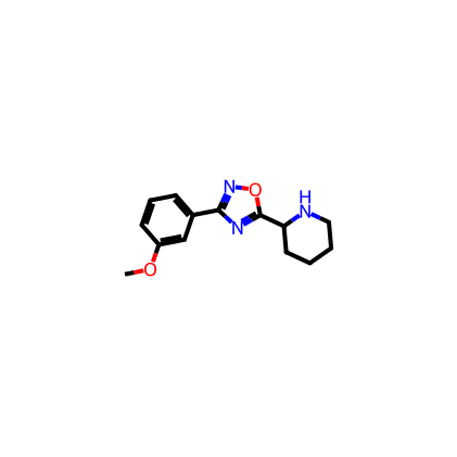 COc1cccc(-c2noc(C3CCCCN3)n2)c1